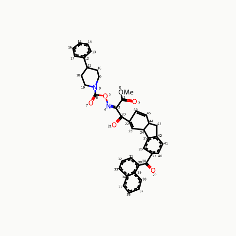 COC(=O)/C(=N\OC(=O)N1CCC(c2ccccc2)CC1)C(=O)C1=CC2c3cc(C(=O)c4cccc5ccccc45)ccc3CC2C=C1